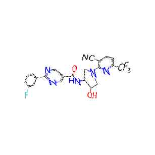 N#Cc1ccc(C(F)(F)F)nc1N1CC(O)C(NC(=O)c2cnc(-c3cccc(F)c3)nc2)C1